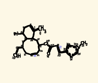 CC1=CCC(C(C)C)C2CC(CO)C/C=C\CC(OC(=O)/C=C/c3cn(C)cn3)CC12